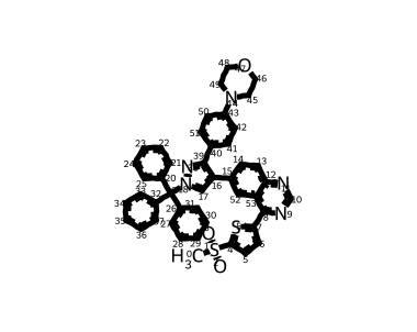 CS(=O)(=O)c1ccc(-c2ncnc3ccc(-c4cn(C(c5ccccc5)(c5ccccc5)c5ccccc5)nc4-c4ccc(N5CCOCC5)cc4)cc23)s1